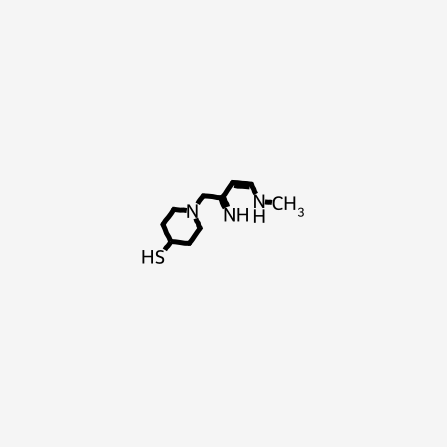 CN/C=C\C(=N)CN1CCC(S)CC1